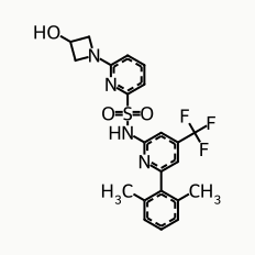 Cc1cccc(C)c1-c1cc(C(F)(F)F)cc(NS(=O)(=O)c2cccc(N3CC(O)C3)n2)n1